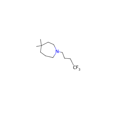 CC1(C)CCCN(CCCC(F)(F)F)CC1